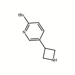 CC(C)(C)c1ccc(C2CNC2)cn1